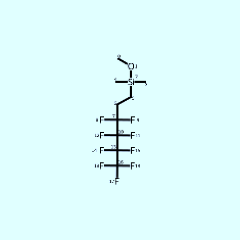 CO[Si](C)(C)CCC(F)(F)C(F)(F)C(F)(F)C(F)(F)F